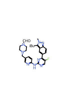 CCC(C)c1c2cc(-c3nc(Nc4ccc(CN5CCN(C=O)CC5)cn4)ncc3F)ccc2nn1C